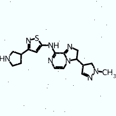 CN1CC(C2CN=C3C(Nc4cc(C5CCNC5)ns4)=NC=CN32)C=N1